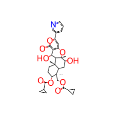 C[C@]12CC[C@H](OC(=O)C3CC3)[C@](C)(COC(=O)C3CC3)C1C[C@H](O)[C@@]1(C)Oc3cc(-c4cccnc4)oc(=O)c3[C@H](O)C21